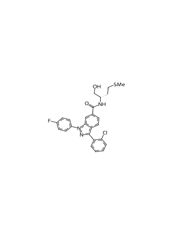 CSCC[C@@H](CO)NC(=O)c1ccc2c(-c3ccccc3Cl)nn(-c3ccc(F)cc3)c2c1